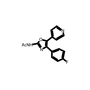 CC(=O)Nc1nc(-c2ccc(F)cc2)c(-c2ccncc2)o1